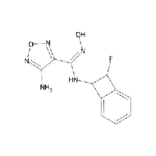 Nc1nonc1/C(=N\O)NC1c2ccccc2C1F